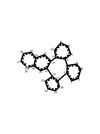 c1ccc2c(c1)-c1ccccc1-c1cc3cccnc3cc1-c1ccccc1-2